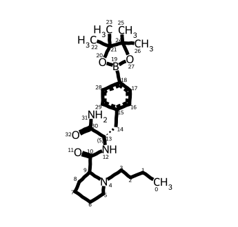 CCCCN1CCCCC1C(=O)N[C@@H](Cc1ccc(B2OC(C)(C)C(C)(C)O2)cc1)C(N)=O